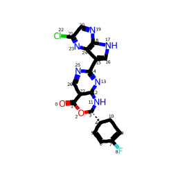 O=C1O[C@@H](C2C=CC(F)=CC2)NC2N=C(c3c[nH]c4ncc(Cl)nc34)N=CC12